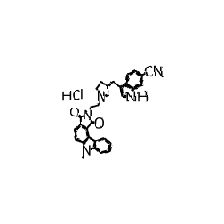 Cl.Cn1c2ccccc2c2c3c(ccc21)C(=O)N(CCN1CCC(Cc2c[nH]c4cc(C#N)ccc24)C1)C3=O